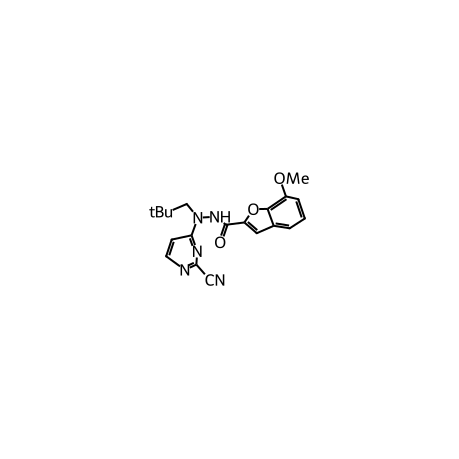 COc1cccc2cc(C(=O)NN(CC(C)(C)C)c3ccnc(C#N)n3)oc12